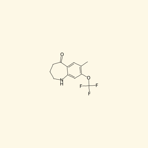 Cc1cc2c(cc1OC(F)(F)F)NCCCC2=O